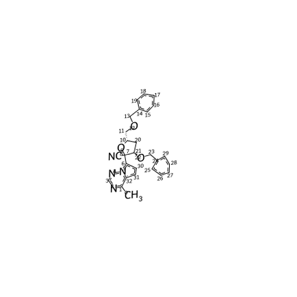 Cc1ncnn2c(C3(C#N)O[C@H](COCc4ccccc4)C[C@H]3OCc3ccccc3)ccc12